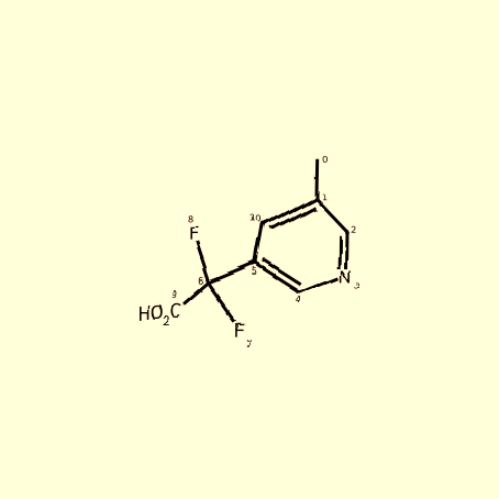 Cc1cncc(C(F)(F)C(=O)O)c1